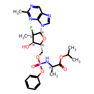 Cc1ncc2ncn([C@@H]3O[C@H](COP(=O)(N[C@H](C)C(=O)OC(C)C)Oc4ccccc4)[C@@H](O)[C@@]3(C)F)c2n1